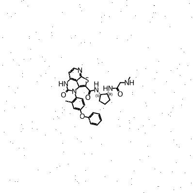 CNCC(=O)N[C@@H]1CCC[C@@H]1NC(=O)c1sc2nccc3c2c1N(c1ccc(Oc2ccccc2)cc1C)C(=O)N3